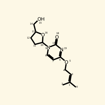 CC(C)=CCOc1ccn(C2CCC(CO)O2)c(=O)n1